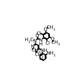 C=N/C(=C\C(=N/C)N(C)C(=O)Nc1c(Cl)c(OC)cc(OC)c1Cl)Nc1ccccc1N